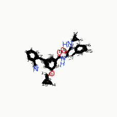 N#Cc1ccccc1-c1cc(OCC2CC2)cc(C(=O)N[C@@H](Cc2ccccc2)C(=O)CNC2CC2)c1